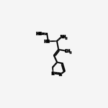 C/C(=C\C1C=CN=NC1)C(N)NC=N